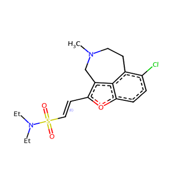 CCN(CC)S(=O)(=O)/C=C/c1oc2ccc(Cl)c3c2c1CN(C)CC3